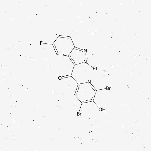 CCn1nc2ccc(F)cc2c1C(=O)c1cc(Br)c(O)c(Br)n1